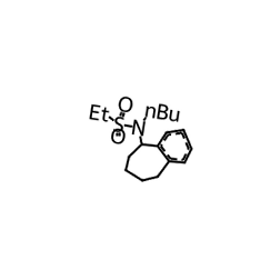 CCCCN(C1CCCCc2ccccc21)S(=O)(=O)CC